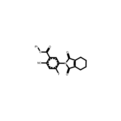 CC(C)OC(=O)c1cc(N2C(=O)C3=C(CCCC3)C2=O)c(F)cc1C#N